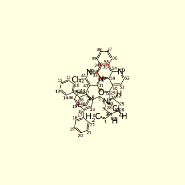 C=C[C@H]1C[N+]2(Cc3cc(-c4ccccc4)cc(-c4ccccc4)c3)CC[C@H]1C[C@@H]2[C@@H](Oc1nc(-c2ccccc2)nc(Cl)c1-c1ccccc1)c1ccnc2ccccc12